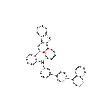 c1ccc(N(c2cccc(-c3ccc(-c4cccc5ccccc45)cc3)c2)c2ccccc2-c2ccc3sc4ccccc4c3c2)cc1